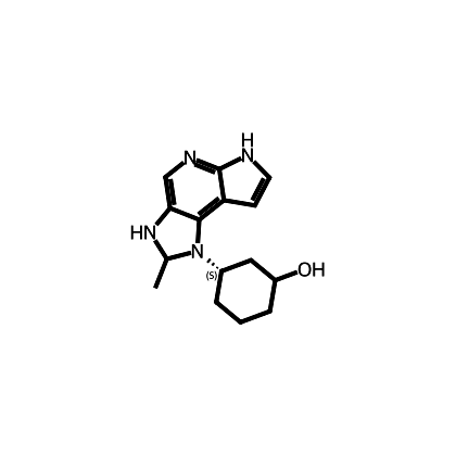 CC1Nc2cnc3[nH]ccc3c2N1[C@H]1CCCC(O)C1